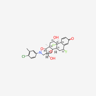 Cc1cc(N2C[C@@H]3CC4[C@@H]5C[C@H](F)C6=CC(=O)C=C[C@]6(C)[C@@]5(F)[C@@H](O)C[C@]4(C)[C@]3(C(=O)CO)O2)ccc1Cl